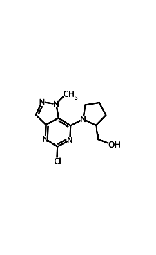 Cn1ncc2nc(Cl)nc(N3CCC[C@H]3CO)c21